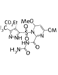 CCOC(=O)c1c(C)n[nH]c1S(=O)(=O)N1C(C(=O)NC(N)=O)=NC(OC)=CC1OC